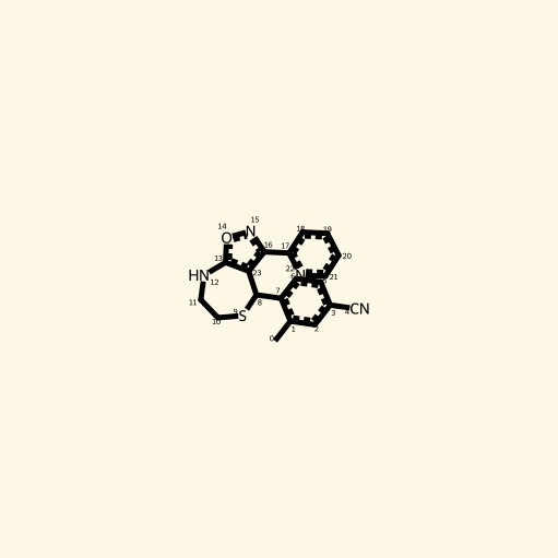 Cc1cc(C#N)ccc1C1SCCNc2onc(-c3ccccn3)c21